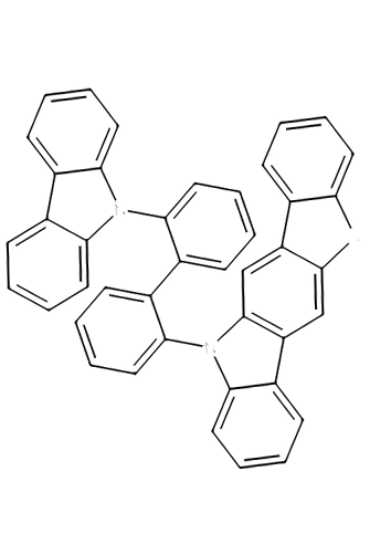 c1ccc(-n2c3ccccc3c3ccccc32)c(-c2ccccc2-n2c3ccccc3c3cc4sc5ccccc5c4cc32)c1